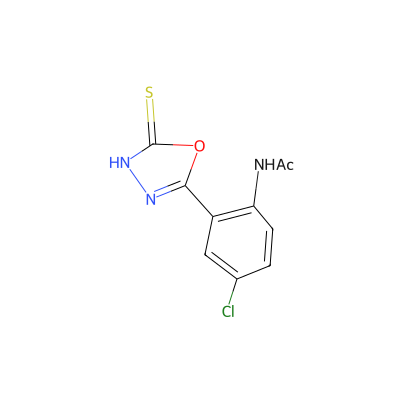 CC(=O)Nc1ccc(Cl)cc1-c1n[nH]c(=S)o1